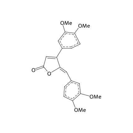 COc1ccc(/C=C2\OC(=O)C=C2c2ccc(OC)c(OC)c2)cc1OC